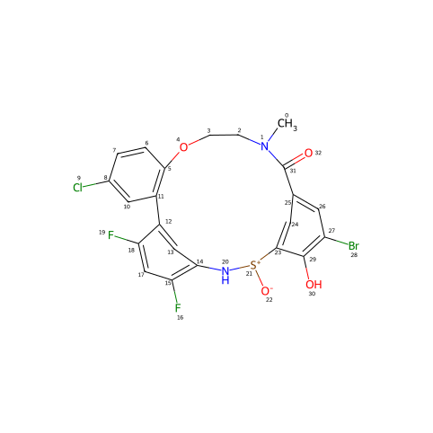 CN1CCOc2ccc(Cl)cc2-c2cc(c(F)cc2F)N[S+]([O-])c2cc(cc(Br)c2O)C1=O